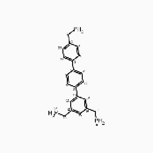 PCc1ccc(-c2ccc(-c3cc(CP)cc(CP)c3)cc2)cc1